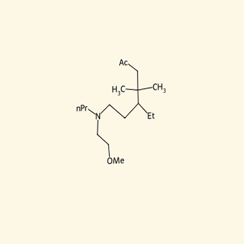 CCCN(CCOC)CCC(CC)C(C)(C)CC(C)=O